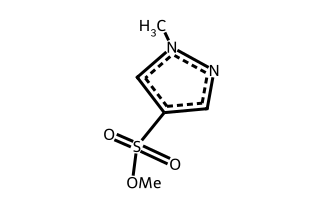 COS(=O)(=O)c1cnn(C)c1